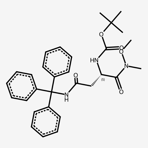 CON(C)C(=O)[C@H](CC(=O)NC(c1ccccc1)(c1ccccc1)c1ccccc1)NC(=O)OC(C)(C)C